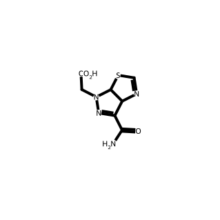 NC(=O)C1=NN(CC(=O)O)C2SC=NC12